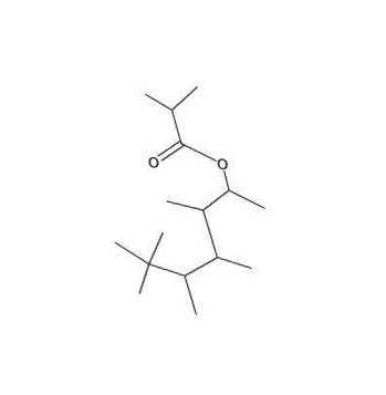 CC(C)C(=O)OC(C)C(C)C(C)C(C)C(C)(C)C